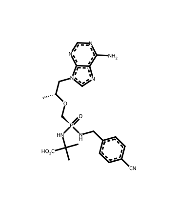 C[C@H](Cn1cnc2c(N)ncnc21)OC[P@@](=O)(NCc1ccc(C#N)cc1)NC(C)(C)C(=O)O